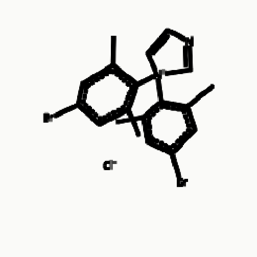 Cc1cc(Br)cc(C)c1[N+]1(c2c(C)cc(Br)cc2C)C=CN=C1.[Cl-]